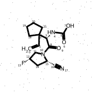 C=CC1([C@H](NC(=O)O)C(=O)N2C[C@@H](F)C[C@H]2C#N)CCCC1